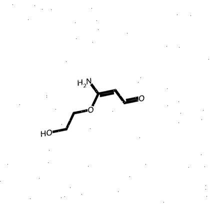 NC(=CC=O)OCCO